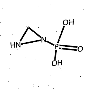 O=P(O)(O)N1CN1